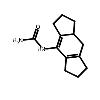 NC(=O)NC1=C2CCCC2CC2=C1CCC2